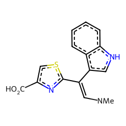 CN/C=C(/c1nc(C(=O)O)cs1)c1c[nH]c2ccccc12